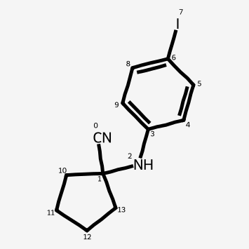 N#CC1(Nc2ccc(I)cc2)CCCC1